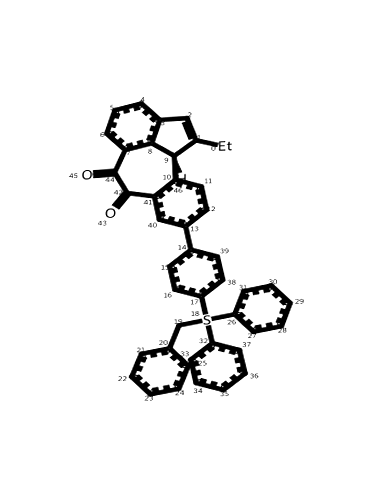 CCC1=Cc2cccc3c2[C@H]1c1ccc(-c2ccc(S(Cc4ccccc4)(c4ccccc4)c4ccccc4)cc2)cc1C(=O)C3=O